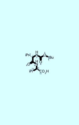 CC(C)[C@H](NC(=O)OC(C)(C)C)C(=O)N[C@@H](C(=O)O)C(C)C